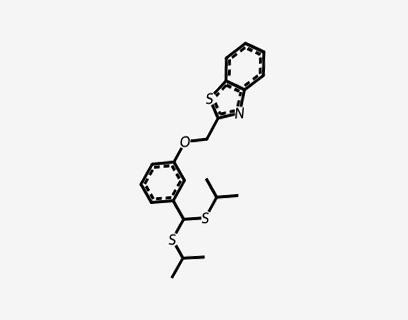 CC(C)SC(SC(C)C)c1cccc(OCc2nc3ccccc3s2)c1